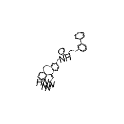 O=C(CCCc1cccc(-c2ccccc2)c1)NCc1ccc2c(c1)CCc1ccccc1C2=Cc1nnn[nH]1